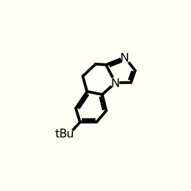 CC(C)(C)c1ccc2c(c1)CCc1nccn1-2